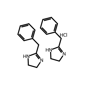 Cl.c1ccc(CC2=NCCN2)cc1.c1ccc(CC2=NCCN2)cc1